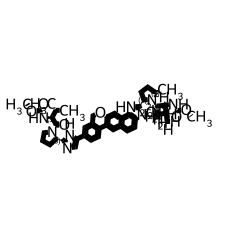 [2H]C([2H])([2H])C([2H])(C([2H])([2H])[2H])[C@]([2H])(NC(=O)OC)C(=O)N1[C@@H](C)CC[C@H]1c1nc2ccc3cc4c(cc3c2[nH]1)OCc1cc(-c2cnc([C@@H]3CCCN3C(=O)[C@@H](NC(=O)OC)C(C)C)[nH]2)ccc1-4